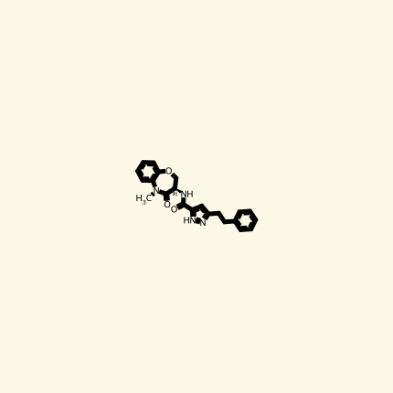 CN1C(=O)[C@H](NC(=O)c2cc(CCc3ccccc3)n[nH]2)COc2ccccc21